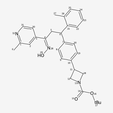 Cc1cc(C(CC(c2ccc(C3CN(C(=O)OC(C)(C)C)C3)cc2)c2ccccc2C)=NO)ccn1